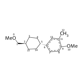 COC[C@H]1CC[C@H](c2ccc(OC)c(C)c2)CC1